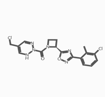 Cc1c(Cl)cccc1-c1noc([C@@H]2CCN2C(=O)N2N=CC(CCl)=CN2)n1